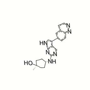 C[C@]1(O)CC[C@H](Nc2ncc3c(-c4ccc5nnccc5c4)c[nH]c3n2)CC1